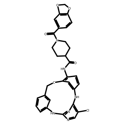 O=C(Nc1ccc2cc1CCc1cccc(c1)Nc1ncc(Cl)c(n1)N2)C1CCN(C(=O)c2ccc3c(c2)OCO3)CC1